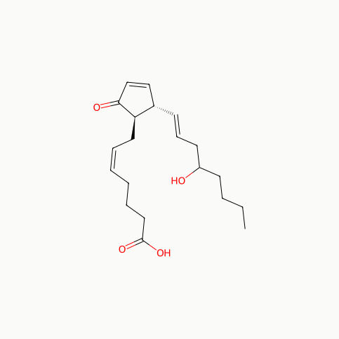 CCCCC(O)CC=C[C@H]1C=CC(=O)[C@@H]1C/C=C\CCCC(=O)O